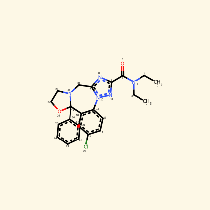 CCN(CC)C(=O)c1nc2n(n1)-c1ccc(Cl)cc1C1(c3ccccc3)OCCN1C2